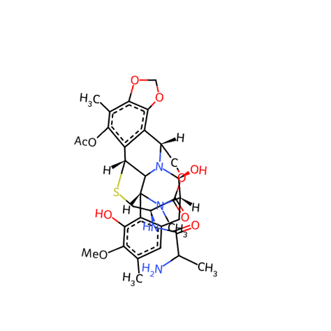 COc1c(C)cc2c(c1O)[C@@H]1C3[C@@H]4SC[C@H](NC(=O)C(C)N)C(=O)OC[C@@H](c5c6c(c(C)c(OC(C)=O)c54)OCO6)N3[C@@H](O)[C@H](C2)N1C